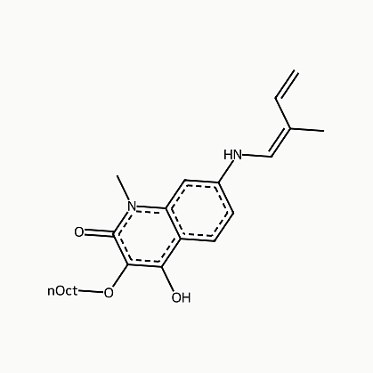 C=CC(C)=CNc1ccc2c(O)c(OCCCCCCCC)c(=O)n(C)c2c1